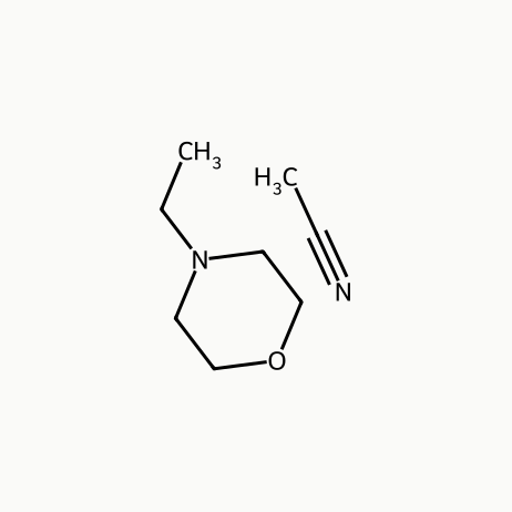 CC#N.CCN1CCOCC1